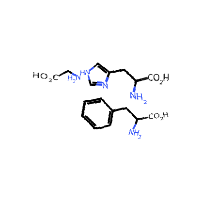 NC(Cc1c[nH]cn1)C(=O)O.NC(Cc1ccccc1)C(=O)O.NCC(=O)O